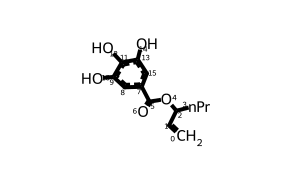 C=CC(CCC)OC(=O)c1cc(O)c(O)c(O)c1